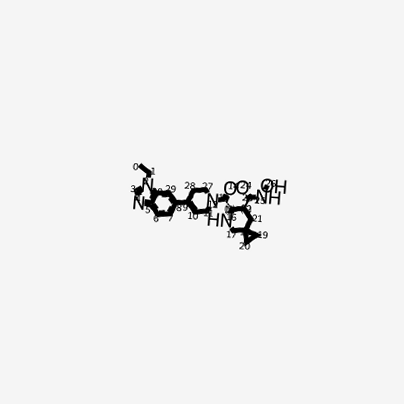 CCn1cnc2ccc(C3=CCN(C(=O)[C@H]4NCC5(CC5)C[C@@H]4C(=O)NO)CC3)cc21